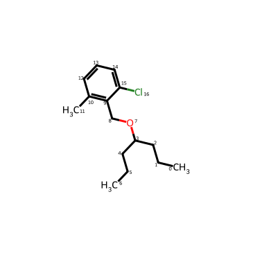 CCCC(CCC)OCc1c(C)cccc1Cl